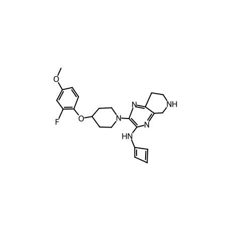 COc1ccc(OC2CCN(c3nc4c(nc3NC3=CC=C3)CNCC4)CC2)c(F)c1